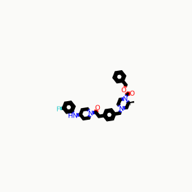 C[C@H]1CN(Cc2ccc(CC(=O)N3CCC(Nc4cccc(F)c4)CC3)cc2)CCN1C(=O)OCc1ccccc1